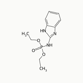 CCOP(=O)(Nc1nc2ccccc2[nH]1)OCC